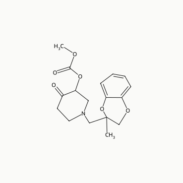 COC(=O)OC1CN(CC2(C)COc3ccccc3O2)CCC1=O